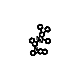 c1ccc(-c2cc3nc(-c4cc(-n5c6ccccc6c6cc7ccccc7cc65)cc5ccccc45)nc(-c4ccccc4)c3cc2-c2ccccc2)cc1